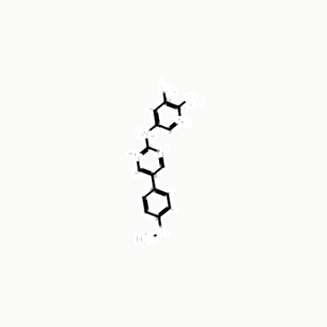 COc1ccc(-c2cnc(Nc3cnc(C)c(C)c3)nc2)cc1